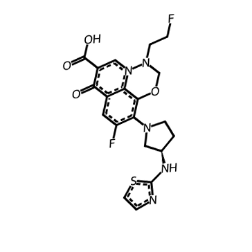 O=C(O)c1cn2c3c(c(N4CC[C@@H](Nc5nccs5)C4)c(F)cc3c1=O)OCN2CCF